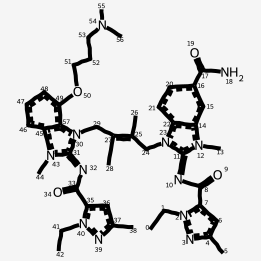 CCn1nc(C)cc1C(=O)/N=c1\n(C)c2cc(C(N)=O)ccc2n1C/C(C)=C(\C)Cn1/c(=N/C(=O)c2cc(C)nn2CC)n(C)c2cccc(OCCCN(C)C)c21